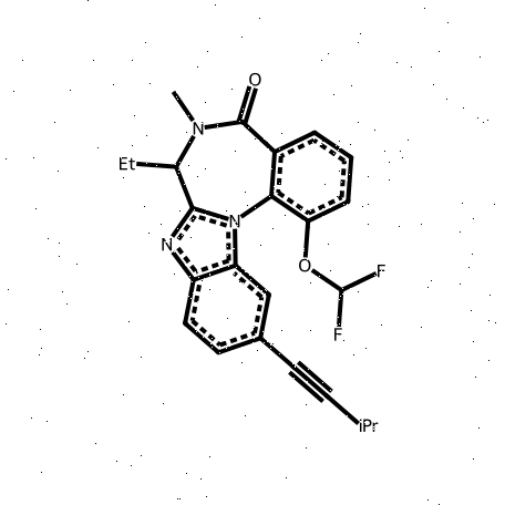 CCC1c2nc3ccc(C#CC(C)C)cc3n2-c2c(OC(F)F)cccc2C(=O)N1C